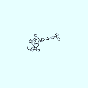 CC1(C)c2ccccc2-c2cc(N(c3ccc(-c4ccc(-c5ccc(-n6c7ccccc7c7ccccc76)cc5)cc4)cc3)c3cc4ccccc4c4c3oc3ccccc34)ccc21